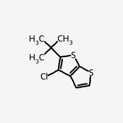 CC(C)(C)c1sc2sccc2c1Cl